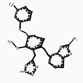 NSc1c(Sc2cccc(C(F)(F)F)c2)ccc(-c2cccc3sc(N)nc23)c1-c1nn[nH]n1